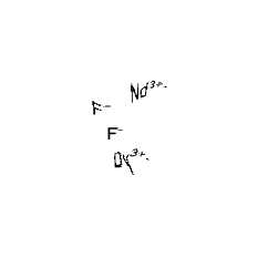 [Dy+3].[F-].[F-].[Nd+3]